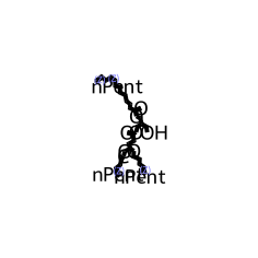 CCCCC/C=C\C/C=C\CCCCCCCC(=O)OCC(CO)COC(=O)CCC(OCCC/C=C\CCCCC)OCCC/C=C\CCCCC